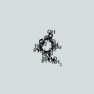 CCC(C)[C@@H]1NC(=O)[C@H](Cc2ccc(O)cc2)N(C)C(=O)[C@@H](C(C)CC)N2C=CC[C@H](NC(=O)[C@H](CC(C)C)NC(=O)[C@@H](NC(=O)[C@H](CCC(N)=O)NC(=O)C(C)C)[C@@H](C)OC1=O)C2=O